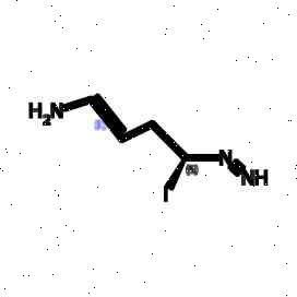 N=N[C@@H](I)C/C=C/N